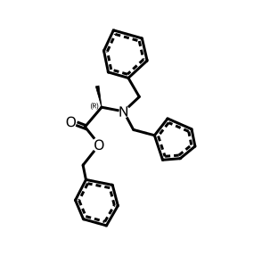 C[C@H](C(=O)OCc1ccccc1)N(Cc1ccccc1)Cc1ccccc1